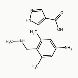 CNCc1c(C)cc(N)cc1C.O=C(O)c1cn[nH]c1